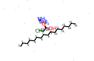 CCCCCCCCCCCCCCCCC.N.N.O=C(O)CCl